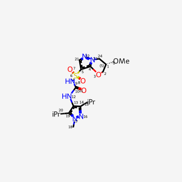 CO[C@@H]1COc2c(S(=O)(=O)NC(=O)Nc3c(C(C)C)nn(C)c3C(C)C)cnn2C1